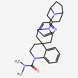 CN(C)C(=O)N1CCC2(CCN(C3CC4CCC(C3)N4c3cnccn3)CC2)c2ccccc21